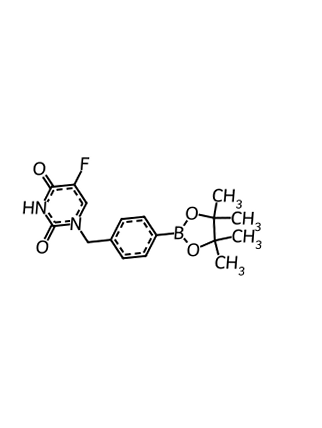 CC1(C)OB(c2ccc(Cn3cc(F)c(=O)[nH]c3=O)cc2)OC1(C)C